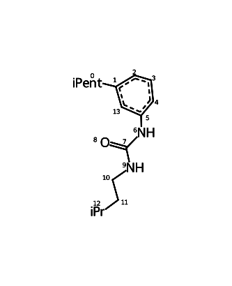 CCCC(C)c1cccc(NC(=O)NCCC(C)C)c1